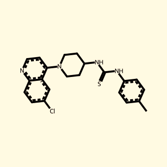 Cc1ccc(NC(=S)NC2CCN(c3ccnc4ccc(Cl)cc34)CC2)cc1